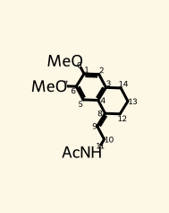 COc1cc2c(cc1OC)C(=CCNC(C)=O)CCC2